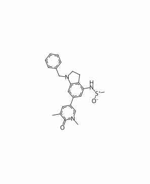 Cc1cc(-c2cc(N[S+](C)[O-])c3c(c2)N(Cc2ccccc2)CC3)cn(C)c1=O